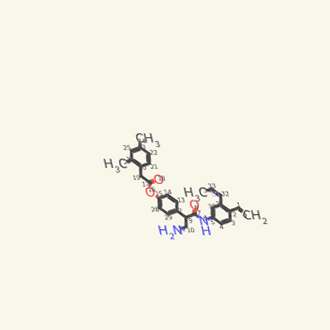 C=Cc1ccc(NC(=O)C(CN)c2ccc(OC(=O)Cc3ccc(C)cc3C)cc2)cc1/C=C\C